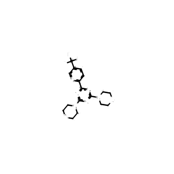 FC(F)(F)c1ccc(-c2nc(N3CCOCC3)nc(N3CCOCC3)n2)nc1